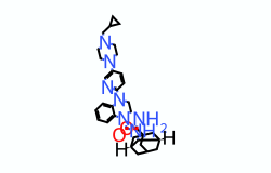 NC(=O)C12CC3C[C@H](C1)C(NC(=O)N1CCN(c4ccc(N5CCN(CC6CC6)CC5)cn4)c4ccccc41)[C@@H](C3)C2